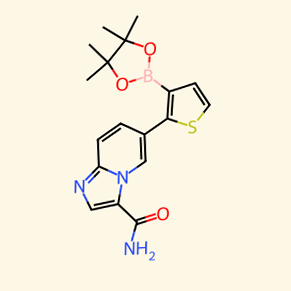 CC1(C)OB(c2ccsc2-c2ccc3ncc(C(N)=O)n3c2)OC1(C)C